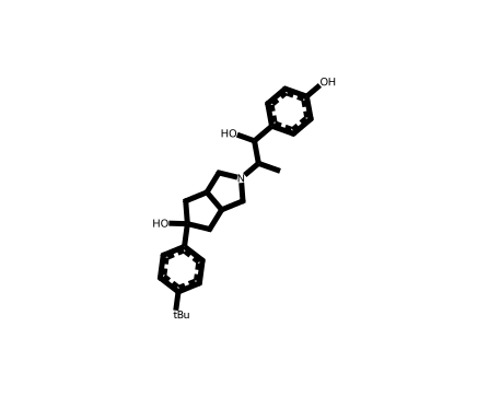 CC(C(O)c1ccc(O)cc1)N1CC2CC(O)(c3ccc(C(C)(C)C)cc3)CC2C1